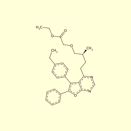 CCOC(=O)COC[C@@H](C)CCc1ncnc2oc(-c3ccccc3)c(-c3ccc(CC)cc3)c12